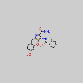 COc1ccc(Cc2nc(C(N)=O)c(NC(=O)c3ccccc3F)s2)c(OC)c1